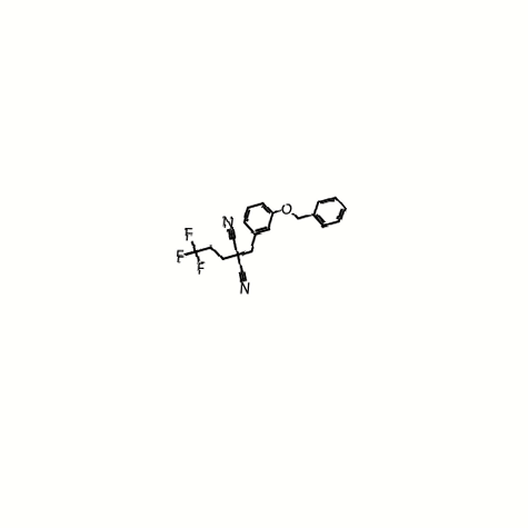 N#CC(C#N)(CCC(F)(F)F)Cc1cccc(OCc2ccccc2)c1